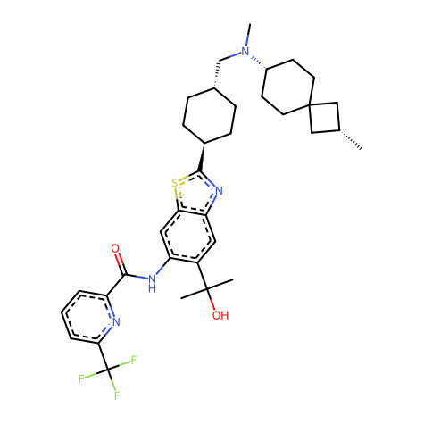 CN(C[C@H]1CC[C@H](c2nc3cc(C(C)(C)O)c(NC(=O)c4cccc(C(F)(F)F)n4)cc3s2)CC1)[C@H]1CCC2(CC1)C[C@@H](C)C2